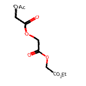 CCOC(=O)COC(=O)COC(=O)COC(C)=O